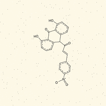 O=C1c2c(O)cccc2C(C(=O)/C=C/c2ccc([N+](=O)[O-])cc2)c2cccc(O)c21